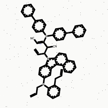 C=CCc1ccccc1N(CC=C)c1ccc2c(c1)c1c3ccccc3ccc1n2C(C=C)C(C#N)/C(=C/C#N)N(c1ccc(-c2ccccc2)cc1)c1ccc(-c2ccccc2)cc1